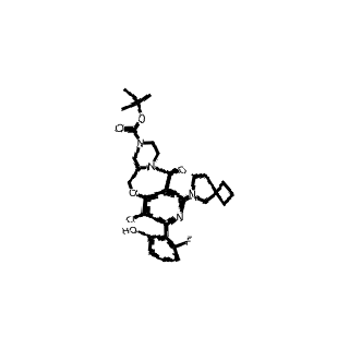 CC(C)(C)OC(=O)N1CCN2C(=O)c3c(N4CCC5(CCC5)C4)nc(-c4c(O)cccc4F)c(Cl)c3OCC2C1